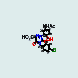 CC(=O)Nc1ccc(O)c(-n2nc(C(=O)O)c(=O)n(Cc3ccc(Cl)cc3)c2=O)c1